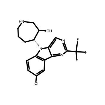 O[C@@H]1CNCCC[C@H]1n1c2ccc(Cl)cc2c2nc(C(F)(F)F)ncc21